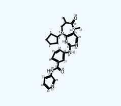 CC1CN(C2CCCC2)c2nc(Nc3cccc(C(=O)Nc4cccnc4)c3)ncc2N(C)C1=O